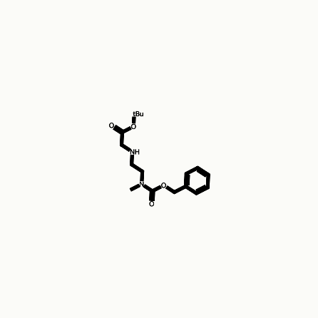 CN(CCNCC(=O)OC(C)(C)C)C(=O)OCc1ccccc1